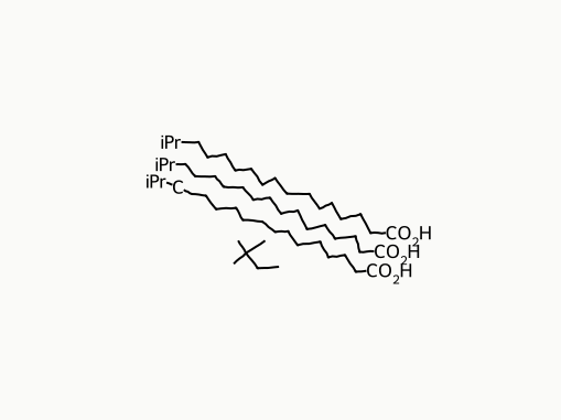 CC(C)CCCCCCCCCCCCCCC(=O)O.CC(C)CCCCCCCCCCCCCCC(=O)O.CC(C)CCCCCCCCCCCCCCC(=O)O.CCC(C)(C)C